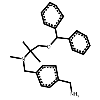 CN(Cc1ccc(CN)cc1)C(C)(C)COC(c1ccccc1)c1ccccc1